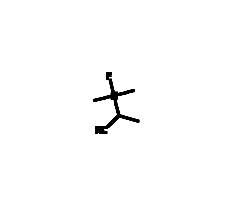 CC(C#N)[Si](C)(C)F